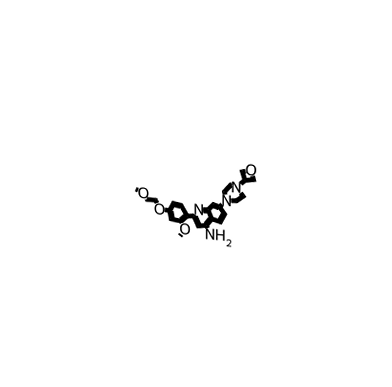 COCCOc1ccc(-c2cc(N)c3ccc(N4CCN(C5COC5)CC4)cc3n2)c(OC)c1